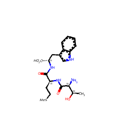 CSCC[C@H](NC(=O)[C@@H](N)[C@@H](C)O)C(=O)N[C@@H](Cc1c[nH]c2ccccc12)C(=O)O